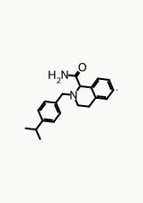 CC(C)c1ccc(CN2CCc3c[c]ccc3C2C(N)=O)cc1